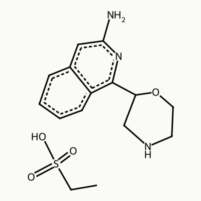 CCS(=O)(=O)O.Nc1cc2ccccc2c(C2CNCCO2)n1